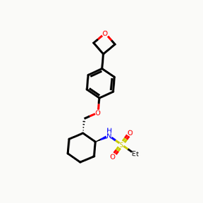 CCS(=O)(=O)N[C@H]1CCCC[C@@H]1COc1ccc(C2COC2)cc1